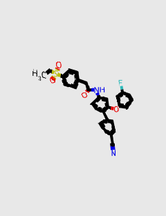 CCS(=O)(=O)c1ccc(CC(=O)Nc2ccc(-c3ccc(C#N)cc3)c(Oc3cccc(F)c3)c2)cc1